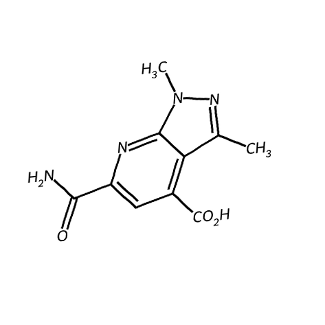 Cc1nn(C)c2nc(C(N)=O)cc(C(=O)O)c12